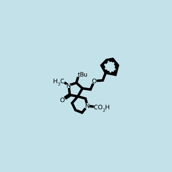 CN1C(=O)C2(CCCN(C(=O)O)C2)C(COCc2ccccc2)C1C(C)(C)C